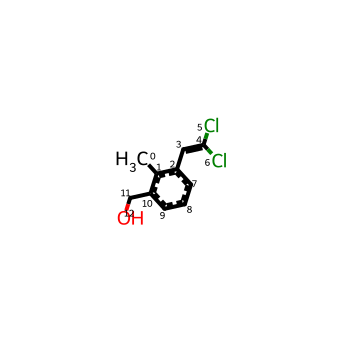 Cc1c(C=C(Cl)Cl)cccc1CO